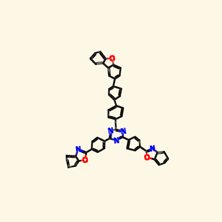 c1ccc2oc(-c3ccc(-c4nc(-c5ccc(-c6ccc(-c7ccc8oc9ccccc9c8c7)cc6)cc5)nc(-c5ccc(-c6nc7ccccc7o6)cc5)n4)cc3)nc2c1